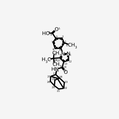 Cc1cc(C(=O)O)ccc1-n1ncc(C(=O)NC2C3CC4CC(C3)CC2C4)c1C(C)(C)C